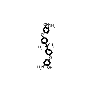 CC(C)(c1ccc(Oc2ccc(N)c(O)c2)cc1)c1ccc(Oc2ccc(N)c(O)c2)cc1